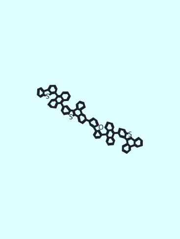 c1ccc2c(c1)sc1c(-c3c4ccccc4c(-c4ccc5sc6c7ccc(-c8ccc9oc%10c(-c%11c%12ccccc%12c(-c%12ccc%13sc%14c%15ccccc%15c%15ccccc%15c%14c%13c%12)c%12ccccc%11%12)cccc%10c9c8)cc7c7ccccc7c6c5c4)c4ccccc34)cccc12